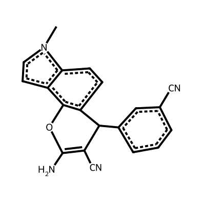 Cn1ccc2c3c(ccc21)C(c1cccc(C#N)c1)C(C#N)=C(N)O3